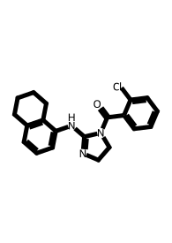 O=C(c1ccccc1Cl)N1CCN=C1Nc1cccc2c1CCCC2